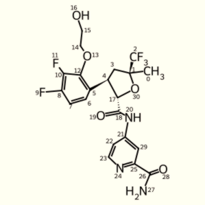 C[C@@]1(C(F)(F)F)C[C@H](c2ccc(F)c(F)c2OCCO)[C@@H](C(=O)Nc2ccnc(C(N)=O)c2)O1